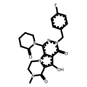 CN1CCn2c(c(O)c3c(=O)n(Cc4ccc(F)cc4)nc(N4CCCCC4=O)c32)C1=O